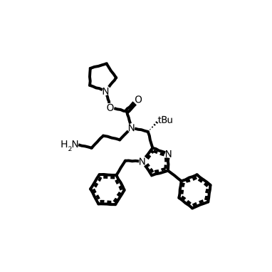 CC(C)(C)[C@H](c1nc(-c2ccccc2)cn1Cc1ccccc1)N(CCCN)C(=O)ON1CCCC1